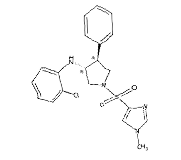 Cn1cnc(S(=O)(=O)N2C[C@H](Nc3ccccc3Cl)[C@@H](c3ccccc3)C2)c1